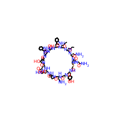 CCCC[C@H]1C(=O)N(C)[C@@H](CCCC)C(=O)N[C@@H](CCN)C(=O)N[C@H](C(=O)NCC(N)=O)CSCC(=O)N[C@@H](Cc2ccc(O)cc2)C(=O)N(C)[C@@H](C)C(=O)N[C@@H](CCN)C(=O)N2CCC[C@H]2C(=O)N[C@@H](Cc2c[nH]cn2)C(=O)N[C@@H](CCC(=O)O)C(=O)N2C[C@H](O)C[C@H]2C(=O)N[C@@H](Cc2c[nH]c3ccccc23)C(=O)N[C@@H](CO)C(=O)N[C@@H](Cc2c[nH]c3ccccc23)C(=O)N1C